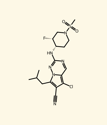 CC(C)Cc1c(C#N)c(Cl)c2cnc(N[C@H]3CCN(S(C)(=O)=O)C[C@H]3F)nn12